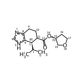 CC(C)[C@H]1c2[nH]cnc2CCC1C(=O)O[C@H]1CCOC1